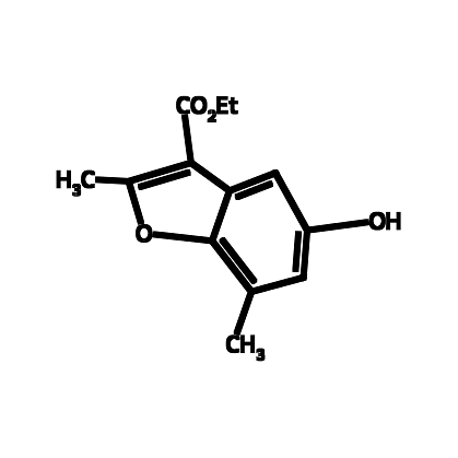 CCOC(=O)c1c(C)oc2c(C)cc(O)cc12